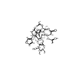 C=C1[C@H]([C@]2(C)[C@@H](OC(C)=O)CC(=O)O[C@](C)(COC(C)=O)[C@@H]2CC(=O)OC)[C@@H](OC=O)[C@H](OC(=O)[C@H](O)[C@H](C)CC)[C@@]2(C)[C@@H](c3ccoc3)CC(=O)[C@]12O